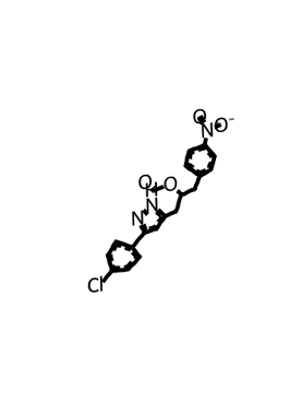 O=COC(Cc1ccc([N+](=O)[O-])cc1)Cc1cc(-c2ccc(Cl)cc2)n[nH]1